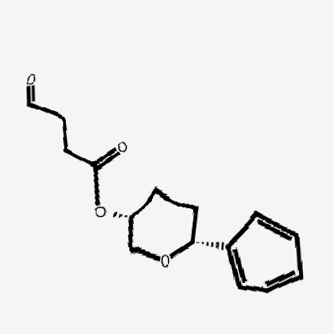 O=CCCC(=O)O[C@@H]1CC[C@H](c2ccccc2)OC1